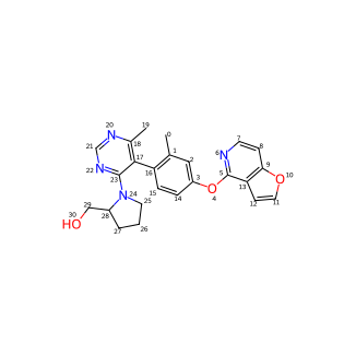 Cc1cc(Oc2nccc3occc23)ccc1-c1c(C)ncnc1N1CCCC1CO